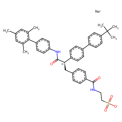 Cc1cc(C)c(-c2ccc(NC(=O)[C@H](Cc3ccc(C(=O)NCCS(=O)(=O)[O-])cc3)c3ccc(-c4ccc(C(C)(C)C)cc4)cc3)cc2)c(C)c1.[Na+]